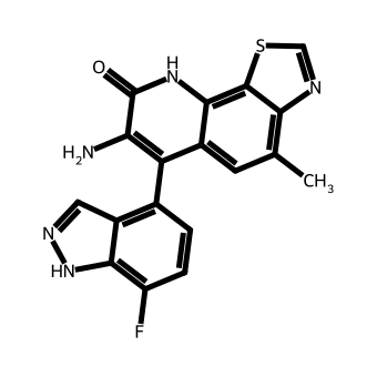 Cc1cc2c(-c3ccc(F)c4[nH]ncc34)c(N)c(=O)[nH]c2c2scnc12